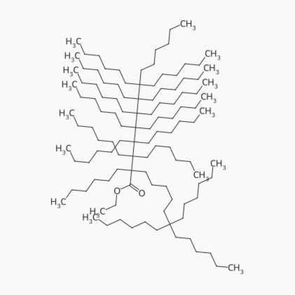 CCCCCCC(CCCCCC)(CCCCCC)CCCCCC(CCCCCC)(C(=O)OCC)C(CCCCCC)(CCCCCC)C(CCCCCC)(CCCCCC)C(CCCCCC)(CCCCCC)C(CCCCCC)(CCCCCC)C(CCCCCC)(CCCCCC)C(CCCCCC)(CCCCCC)CCCCCC